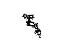 O=c1c2ccccc2oc2cc3c(=O)c4cc(-n5c6ccccc6c6ccccc65)ccc4sc3cc12